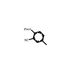 CCCC(C)c1ccc(C)cc1C#N